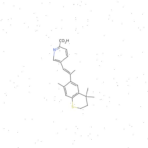 CC(=Cc1ccc(C(=O)O)nc1)c1cc2c(cc1C)SCCC2(C)C